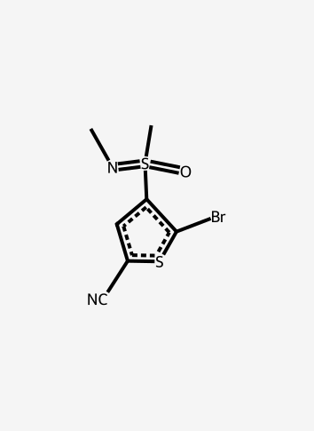 CN=S(C)(=O)c1cc(C#N)sc1Br